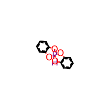 c1ccc2c(c1)O[PH]1(O2)Oc2ccccc2O1